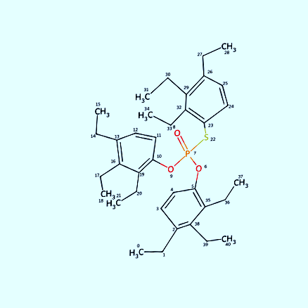 CCc1ccc(OP(=O)(Oc2ccc(CC)c(CC)c2CC)Sc2ccc(CC)c(CC)c2CC)c(CC)c1CC